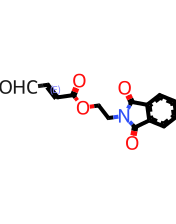 O=C/C=C/C(=O)OCCN1C(=O)c2ccccc2C1=O